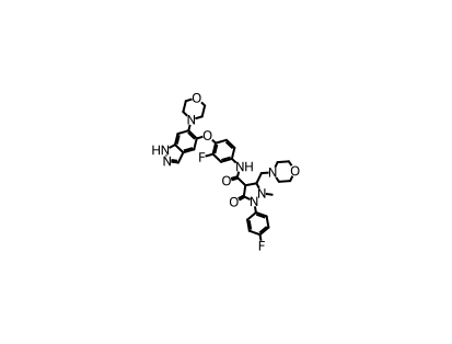 CN1C(CN2CCOCC2)C(C(=O)Nc2ccc(Oc3cc4cn[nH]c4cc3N3CCOCC3)c(F)c2)C(=O)N1c1ccc(F)cc1